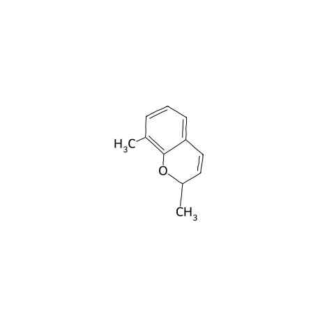 Cc1cccc2c1OC(C)C=C2